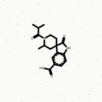 CC(C)C(=O)N1CCC2(CC1C)C(=O)Nc1ccc(C(=O)O)cc12